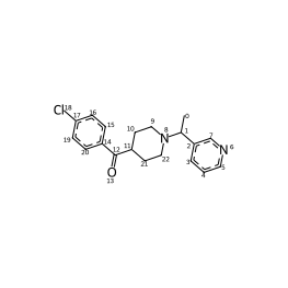 CC(c1cccnc1)N1CCC(C(=O)c2ccc(Cl)cc2)CC1